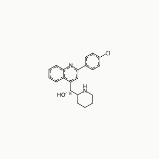 O[C@H](c1cc(-c2ccc(Cl)cc2)nc2ccccc12)C1CCCCN1